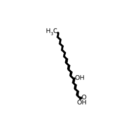 CCCCCCCCCC=CC=CC=CC(O)=CC=CC=CC(=O)O